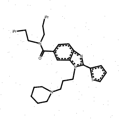 CC(C)CCN(CCC(C)C)C(=O)c1ccc2nc(-c3cccs3)n(CCCN3CCCCC3)c2c1